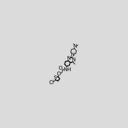 Cc1nc(N2CCC(N(C)C)CC2)nc2ccc(NC(=O)COc3ccc(Cl)s3)cc12